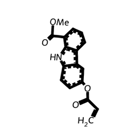 C=CC(=O)Oc1ccc2[nH]c3c(C(=O)OC)cccc3c2c1